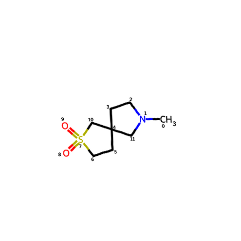 CN1CCC2(CCS(=O)(=O)C2)C1